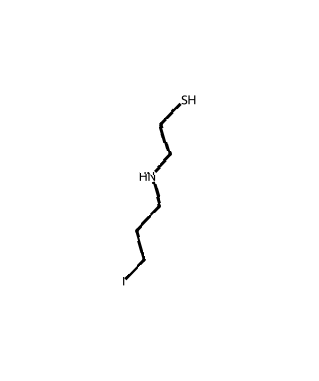 SCCNCCCI